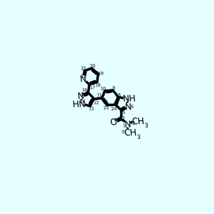 CN(C)C(=O)c1n[nH]c2ccc(-c3c[nH]nc3-c3ccccn3)cc12